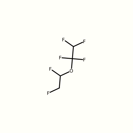 FCC(F)OC(F)(F)C(F)F